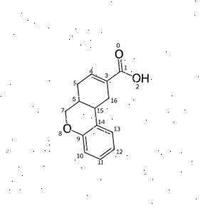 O=C(O)C1=CCC2COc3ccccc3C2C1